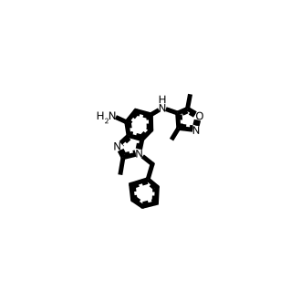 Cc1noc(C)c1Nc1cc(N)c2nc(C)n(Cc3ccccc3)c2c1